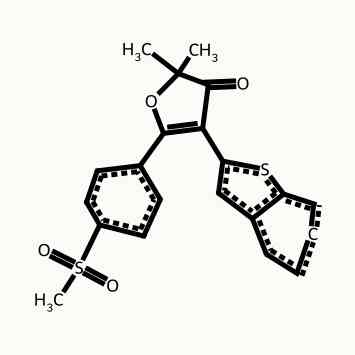 CC1(C)OC(c2ccc(S(C)(=O)=O)cc2)=C(c2cc3ccccc3s2)C1=O